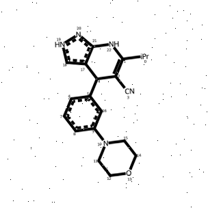 CC(C)C1=C(C#N)C(c2cccc(N3CCOCC3)c2)c2c[nH]nc2N1